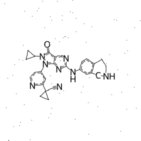 N#CC1(c2cc(-n3c4nc(Nc5ccc6c(c5)CNCC6)ncc4c(=O)n3C3CC3)ccn2)CC1